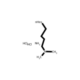 CCCCCCCCCCN(C)C.Cl.Cl.N